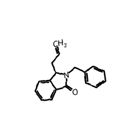 C=CCC1c2ccccc2C(=O)N1Cc1ccccc1